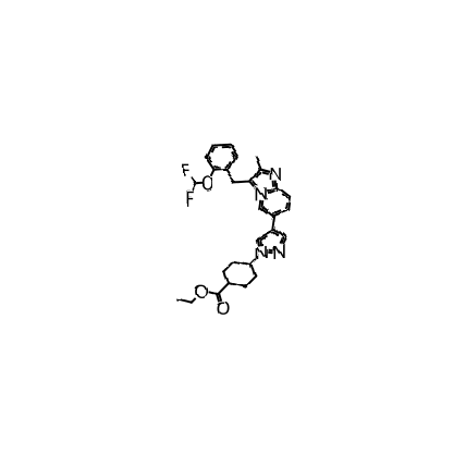 CCOC(=O)C1CCC(n2cc(-c3ccc4nc(C)c(Cc5ccccc5OC(F)F)n4c3)cn2)CC1